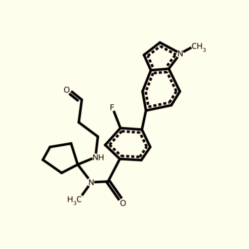 CN(C(=O)c1ccc(-c2ccc3c(ccn3C)c2)c(F)c1)C1(NCCC=O)CCCC1